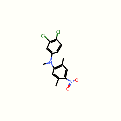 Cc1cc([N+](=O)[O-])c(C)cc1N(C)c1ccc(Cl)c(Cl)c1